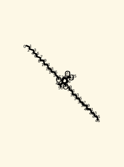 CCCCCC=CCC=CCCCCCCCCOc1cc(C(=O)OC)cc(OCCCCCCCCC=CCC=CCCCCC)c1C(C)C